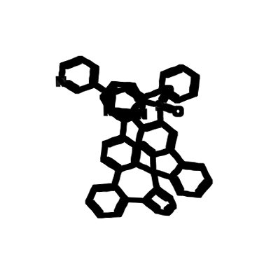 O=S1(=O)c2ccccc2-c2cc3c(cc21)-c1ccccc1C31c2ccccc2-c2ccccc2-c2ccc(-c3nc(-c4ccccc4)cc(-c4cccnc4)n3)cc21